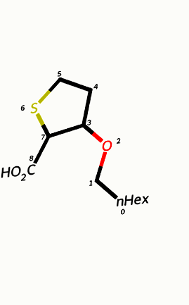 CCCCCCCOC1CCSC1C(=O)O